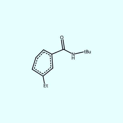 CCc1cccc(C(=O)NC(C)(C)C)c1